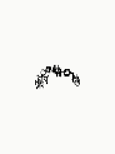 Cc1nc2nc(C)c(OC3CCN(c4cnc(-c5ccc(CN6CCOCC6)cc5)cn4)C3)c(C)n2n1